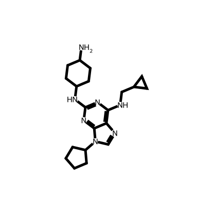 NC1CCC(Nc2nc(NCC3CC3)c3ncn(C4CCCC4)c3n2)CC1